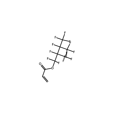 C=CC(=O)OC(F)(F)C(F)(C(F)(F)F)C(F)(C(F)(F)F)C(F)(F)F